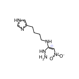 NN/C(=C\[N+](=O)[O-])NCCCCc1c[nH]cn1